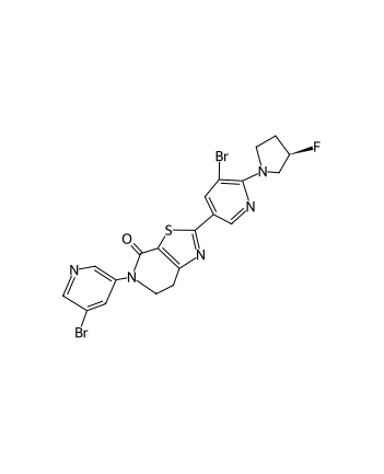 O=C1c2sc(-c3cnc(N4CC[C@@H](F)C4)c(Br)c3)nc2CCN1c1cncc(Br)c1